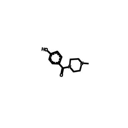 CN1CCN(C(=O)c2ccc(O)cc2)CC1